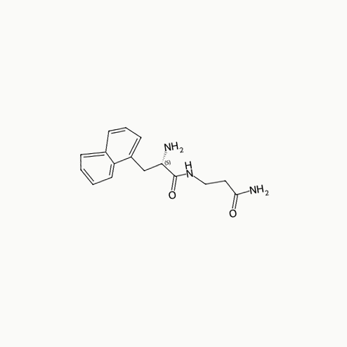 NC(=O)CCNC(=O)[C@@H](N)Cc1cccc2ccccc12